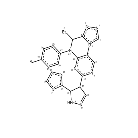 CCC1c2nncn2-c2cnc(C3C=NNC3c3nccs3)nc2N1c1ccc(C)cc1